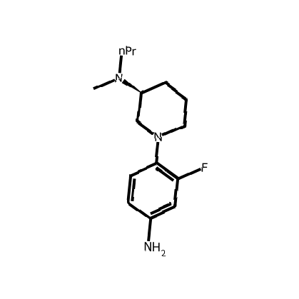 CCCN(C)[C@H]1CCCN(c2ccc(N)cc2F)C1